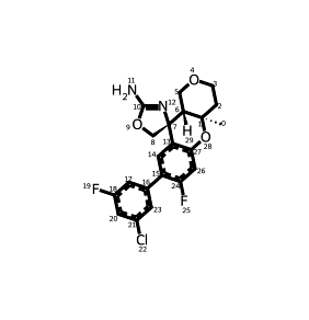 C[C@@]12CCOC[C@H]1[C@]1(COC(N)=N1)c1cc(-c3cc(F)cc(Cl)c3)c(F)cc1O2